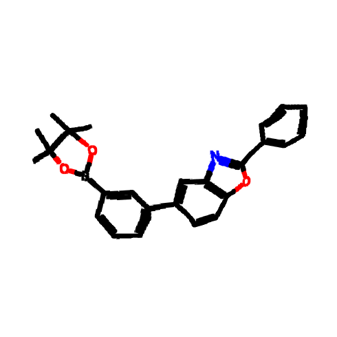 CC1(C)OB(c2cccc(-c3ccc4oc(-c5ccccc5)nc4c3)c2)OC1(C)C